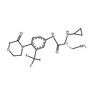 NC[C@@H](NC1CC1)C(=O)Nc1ccc(N2CCOCC2=O)c(C(F)(F)F)c1